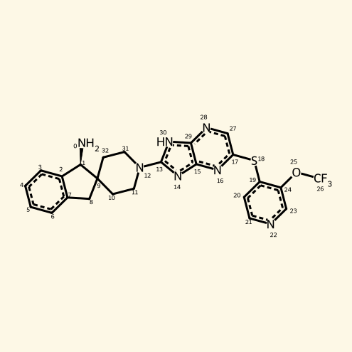 N[C@@H]1c2ccccc2CC12CCN(c1nc3nc(Sc4ccncc4OC(F)(F)F)cnc3[nH]1)CC2